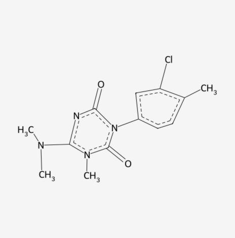 Cc1ccc(-n2c(=O)nc(N(C)C)n(C)c2=O)cc1Cl